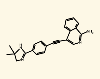 CC1(C)CN=C(c2ccc(C#Cc3cnc(N)c4ccccc34)cc2)N1